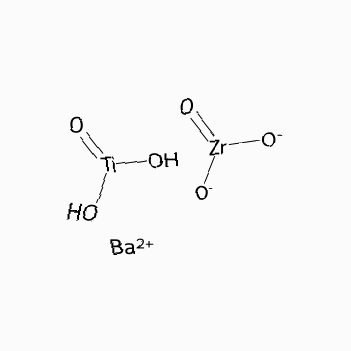 [Ba+2].[O]=[Ti]([OH])[OH].[O]=[Zr]([O-])[O-]